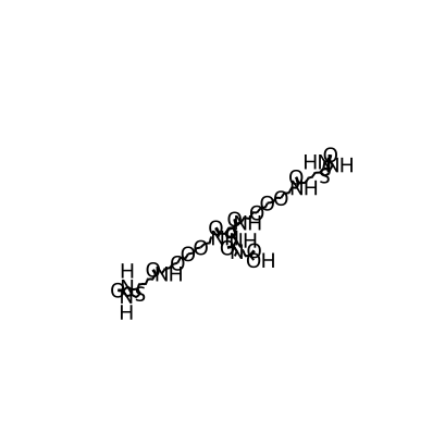 CN(CCC(=O)O)C(=O)Nc1cc(C(=O)NCCCOCCOCCOCCCNC(=O)CCCCC2SCC3NC(=O)NC32)cc(C(=O)NCCCOCCOCCOCCCNC(=O)CCCCC2SCC3NC(=O)NC32)c1